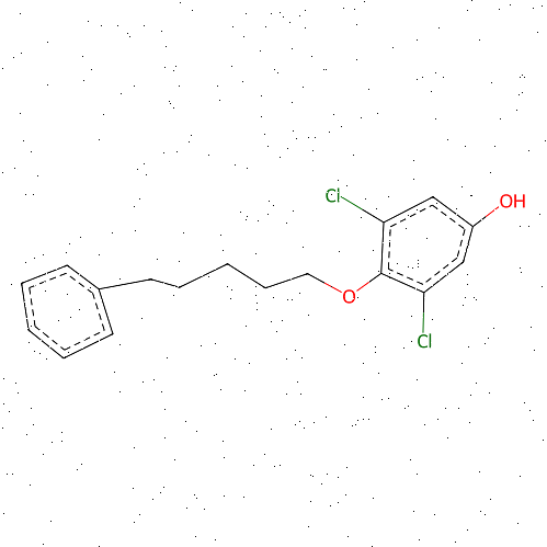 Oc1cc(Cl)c(OCCCCCc2ccccc2)c(Cl)c1